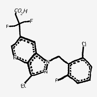 CCc1nn(Cc2c(F)cccc2Cl)c2cc(C(F)(F)C(=O)O)cnc12